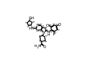 NC(=O)C1CCC(n2c(Nc3c(F)cc(Cl)cc3Cl)nc3cnc(N[C@@H]4CC[C@@H](O)C4)nc32)CC1